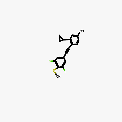 CCCc1ccc(C#Cc2cc(F)c(SC#N)c(F)c2)c(C2CC2)c1